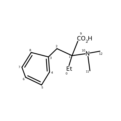 CCC(Cc1ccccc1)(C(=O)O)N(C)C